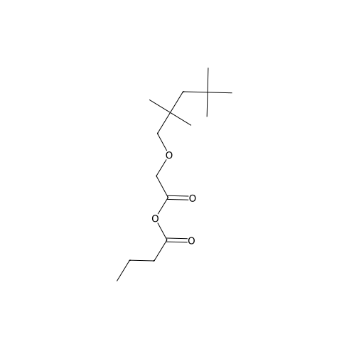 CCCC(=O)OC(=O)COCC(C)(C)CC(C)(C)C